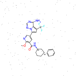 COc1ncc(-c2cc(C(F)(F)F)c3c(N)ncnn23)cc1C(=O)N[C@@H]1CCC[C@@H](c2ccccc2)C1